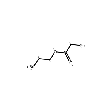 CCCCCCOC(=O)C[S]